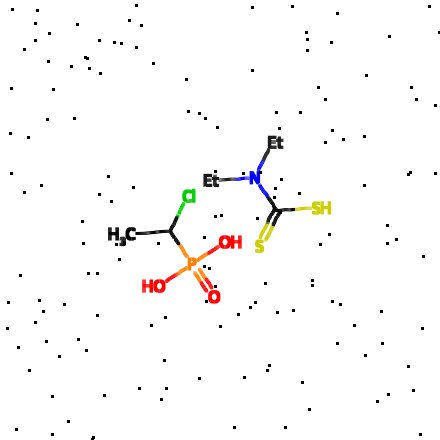 CC(Cl)P(=O)(O)O.CCN(CC)C(=S)S